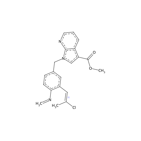 C=Nc1ccc(Cn2cc(C(=O)OC)c3cccnc32)cc1/C=C(\C)Cl